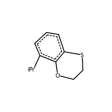 CC(C)c1cccc2c1OCCS2